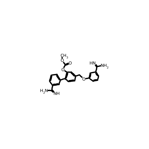 COC(=O)Oc1cc(COc2cccc(C(=N)N)c2)ccc1-c1cccc(C(=N)N)c1